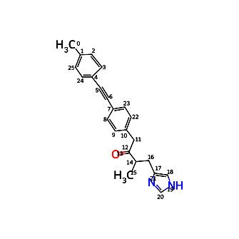 Cc1ccc(C#Cc2ccc(CC(=O)C(C)Cc3c[nH]cn3)cc2)cc1